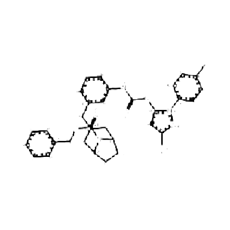 Cc1ccc(-n2nc(C(C)(C)C)cc2NC(=O)Nc2cccc(CC3CC4CCC(C3)N4C(=O)OCc3ccccc3)c2)cc1